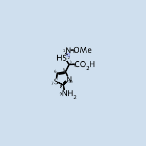 CO/N=[SH]\C(C(=O)O)c1csc(N)n1